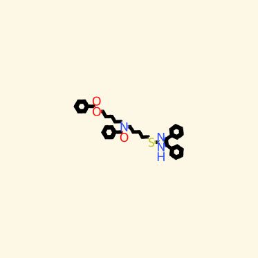 O=C(OCCCCCN(CCCCCSc1nc(-c2ccccc2)c(-c2ccccc2)[nH]1)C(=O)c1ccccc1)c1ccccc1